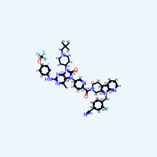 Cc1nc(Nc2ccc(OC(F)(F)F)cc2)nc2c1n(-c1ccc(C(=O)N3CCc4c(n(Cc5ccc(C#N)cc5F)c5ncccc45)C3)nc1)c(=O)n2C1CCN(CC(C)(C)C)CC1